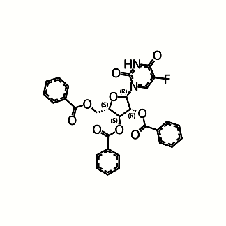 O=C(OC[C@@H]1O[C@@H](n2cc(F)c(=O)[nH]c2=O)[C@H](OC(=O)c2ccccc2)[C@H]1OC(=O)c1ccccc1)c1ccccc1